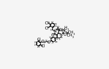 CC(C)(C)OC(=O)N1CCC(c2ccc(OCCOc3c(Cl)cccc3Cl)cc2)=C(C(=O)N(Cc2cccc(Cl)c2Cl)C2CC2)C1CO